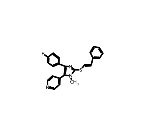 Cn1c(SC=Cc2ccccc2)nc(-c2ccc(F)cc2)c1-c1ccncc1